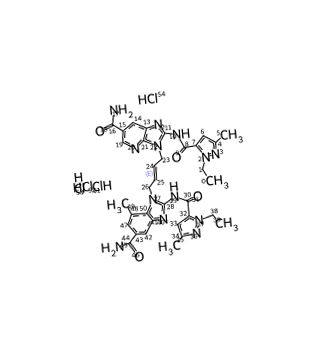 CCn1nc(C)cc1C(=O)Nc1nc2cc(C(N)=O)cnc2n1C/C=C/Cn1c(NC(=O)c2cc(C)nn2CC)nc2cc(C(N)=O)cc(C)c21.Cl.Cl.Cl.Cl